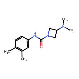 Cc1ccc(NC(=O)N2CC(N(C)C)C2)cc1C